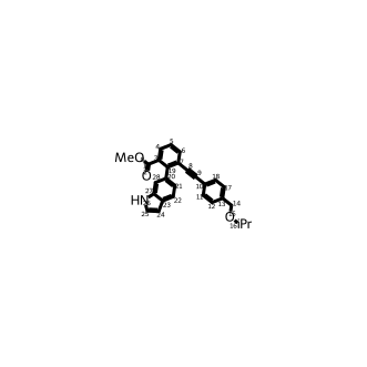 COC(=O)c1cccc(C#Cc2ccc(COC(C)C)cc2)c1-c1ccc2cc[nH]c2c1